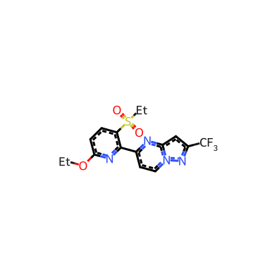 CCOc1ccc(S(=O)(=O)CC)c(-c2ccn3nc(C(F)(F)F)cc3n2)n1